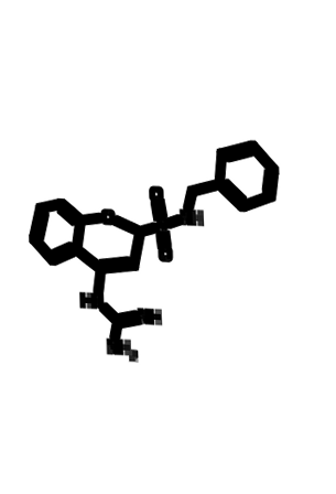 N=C(N)NC1=CC(S(=O)(=O)NCc2ccccc2)Oc2ccccc21